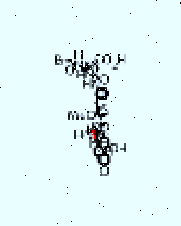 COc1c([C@@H]2O[C@@H]3C[C@H]4[C@@H]5CCC6=CC(=O)C=C[C@]6(C)[C@H]5[C@@H](O)C[C@]4(C)[C@]3(C(=O)CO)O2)csc1Cc1cccc(NC(=O)[C@H](CCC(=O)O)NC(=O)CNC(=O)CBr)c1